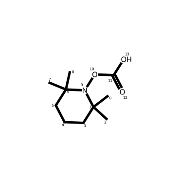 CC1(C)CCCC(C)(C)N1OC(=O)O